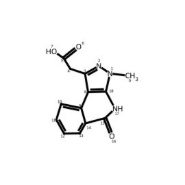 Cn1nc(CC(=O)O)c2c3ccccc3c(=O)[nH]c21